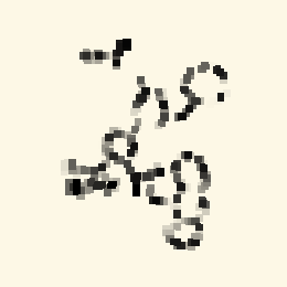 CC(C)(C)c1ccc(CCC(CC2CCCCCC2)OC(=O)CCC(=O)O)cc1NC(=O)CC1c2ccccc2Oc2ccccc21